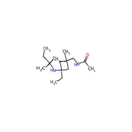 CCC(C)(C)NC1(CC)CC(C)(CNC(C)=O)C1